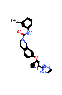 CC(C)(C)c1cccc(NC(=O)N2CCc3ccc(Oc4ccnc(-c5ncc[nH]5)c4)cc3C2)c1